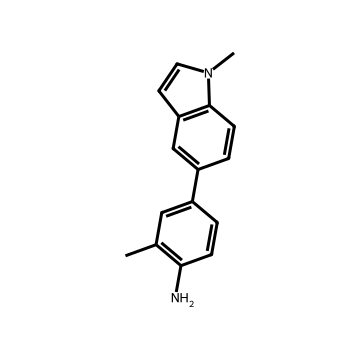 Cc1cc(-c2ccc3c(ccn3C)c2)ccc1N